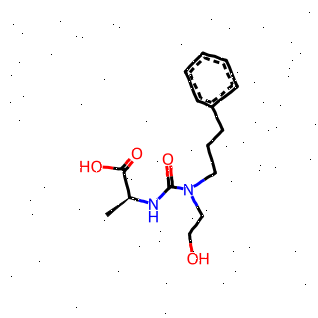 C[C@H](NC(=O)N(CCO)CCCc1ccccc1)C(=O)O